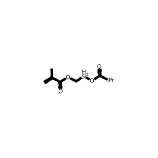 C=C(C)C(=O)OC[SiH2]OC(=O)C(C)C